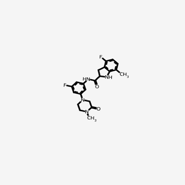 Cc1ccc(F)c2c1NC(C(=O)Nc1cc(F)cc(N3CCN(C)C(=O)C3)c1)C2